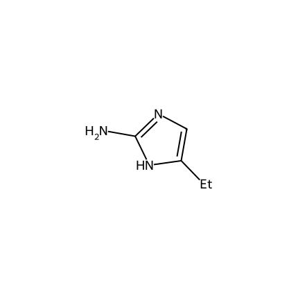 CCc1cnc(N)[nH]1